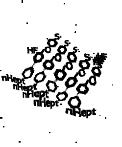 CCCCCCC[C@H]1CC[C@H](c2ccc(COc3ccc([S])cc3)cc2)CC1.CCCCCCC[C@H]1CC[C@H](c2ccc(COc3ccc([S])cc3)cc2)CC1.CCCCCCC[C@H]1CC[C@H](c2ccc(COc3ccc([S])cc3)cc2)CC1.CCCCCCC[C@H]1CC[C@H](c2ccc(COc3ccc([S])cc3)cc2)CC1.CCCCCCC[C@H]1CC[C@H](c2ccc(COc3ccc([S])cc3)cc2)CC1.F.F.F.F.F